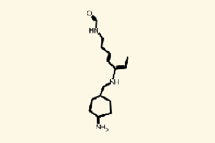 C/C=C(\C=C\CCNC=O)NCC1CCC(N)CC1